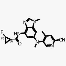 Cc1cc(C#N)ncc1N(C)c1cc(NC(=O)[C@H]2C[C@H]2F)c2ncn(C)c2c1